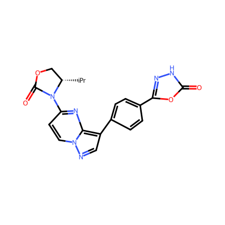 CC(C)[C@H]1COC(=O)N1c1ccn2ncc(-c3ccc(-c4n[nH]c(=O)o4)cc3)c2n1